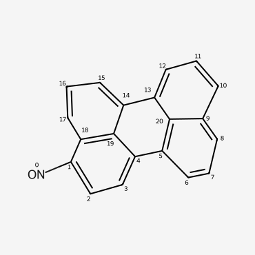 O=Nc1ccc2c3cccc4cccc(c5cccc1c52)c43